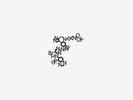 COc1cc2c(cc1Nc1ncc(Br)c(Nc3ccc4nccnc4c3P(C)(C)=O)n1)-c1cnn(C)c1CCN2C1CC2(C1)CN(C(=O)OC(C)(C)C)C2